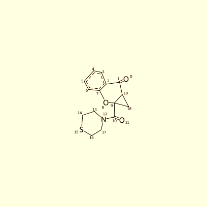 O=C1c2ccccc2OC2(C(=O)N3CCSCC3)CC12